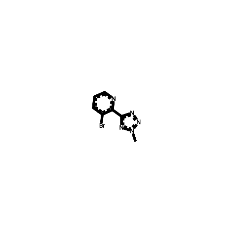 Cn1nnc(-c2ncccc2Br)n1